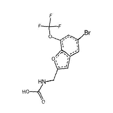 O=C(O)NCc1cc2cc(Br)cc(OC(F)(F)F)c2o1